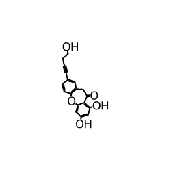 O=C1Cc2cc(C#CCCO)ccc2Oc2cc(O)cc(O)c21